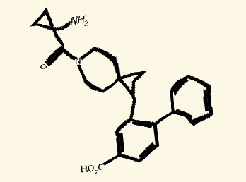 NC1(C(=O)N2CCC3(CC2)CC3c2cc(C(=O)O)ccc2-c2ccccc2)CC1